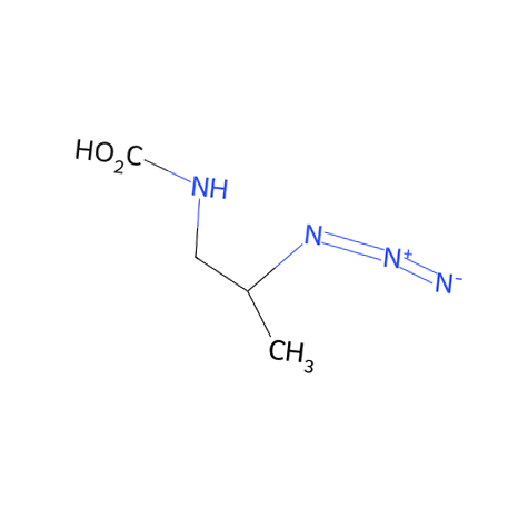 CC(CNC(=O)O)N=[N+]=[N-]